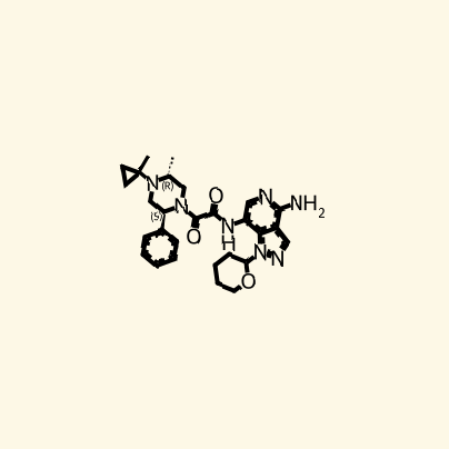 C[C@@H]1CN(C(=O)C(=O)Nc2cnc(N)c3cnn(C4CCCCO4)c23)[C@@H](c2ccccc2)CN1C1(C)CC1